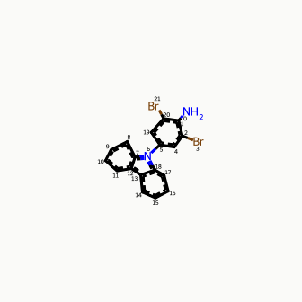 Nc1c(Br)cc(-n2c3ccccc3c3ccccc32)cc1Br